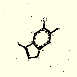 CC1=CCc2cc(C)c(Cl)cc21